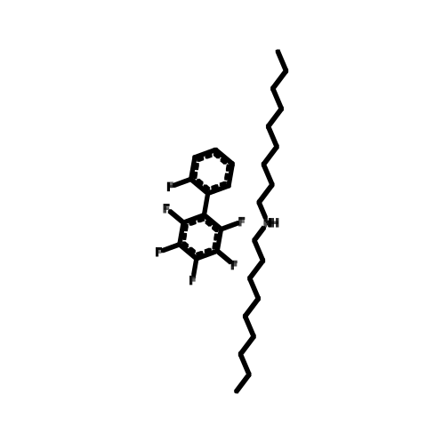 CCCCCCCCCNCCCCCCCCC.Fc1ccccc1-c1c(F)c(F)c(F)c(F)c1F